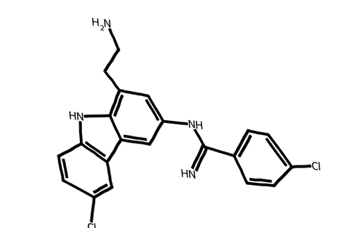 N=C(Nc1cc(CCN)c2[nH]c3ccc(Cl)cc3c2c1)c1ccc(Cl)cc1